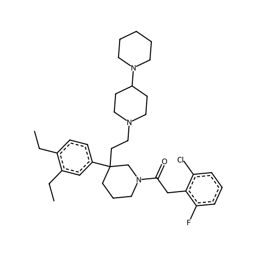 CCc1ccc(C2(CCN3CCC(N4CCCCC4)CC3)CCCN(C(=O)Cc3c(F)cccc3Cl)C2)cc1CC